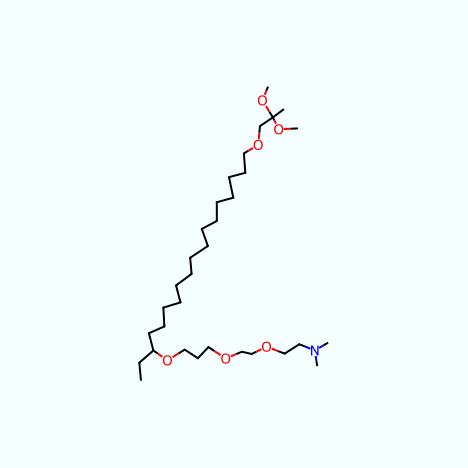 CCC(CCCCCCCCCCCCCCCOCC(C)(OC)OC)OCCCOCCOCCN(C)C